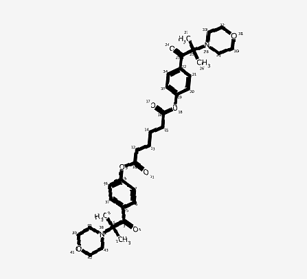 CC(C)(C(=O)c1ccc(OC(=O)CCCCC(=O)Oc2ccc(C(=O)C(C)(C)N3CCOCC3)cc2)cc1)N1CCOCC1